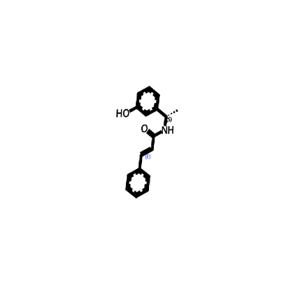 C[C@H](NC(=O)/C=C/c1ccccc1)c1cccc(O)c1